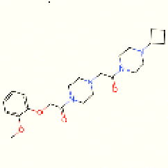 COc1ccccc1OCC(=O)N1CCN(CC(=O)N2CCN(C3CCC3)CC2)CC1